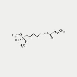 CC=CC(=O)OCCCCCC[Si](C)(OC)OC